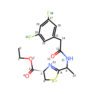 CCOC(=O)[C@H]1CSC(C(C)NC(=O)Cc2cc(F)cc(F)c2)=N1